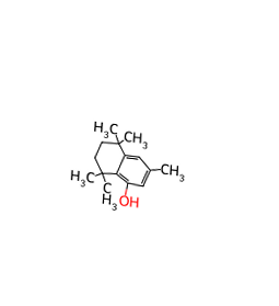 Cc1cc(O)c2c(c1)C(C)(C)CCC2(C)C